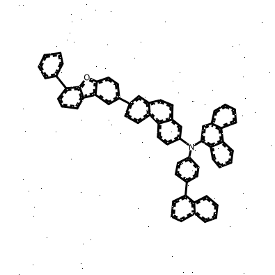 c1ccc(-c2cccc3c2oc2ccc(-c4ccc5c(ccc6cc(N(c7ccc(-c8cccc9ccccc89)cc7)c7cc8ccccc8c8ccccc78)ccc65)c4)cc23)cc1